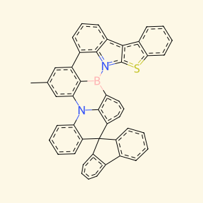 Cc1cc2c3c(c1)N1c4ccccc4C4(c5ccccc5-c5ccccc54)c4cccc(c41)B3n1c3sc4ccccc4c3c3cccc-2c31